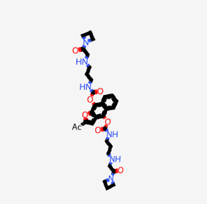 CC(=O)c1cc2c(OC(=O)NCCCNCC(=O)N3CCC3)c3ccccc3c(OC(=O)NCCCNCC(=O)N3CCC3)c2o1